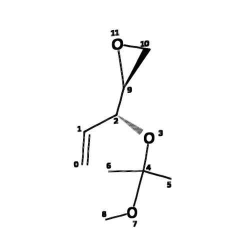 C=C[C@@H](OC(C)(C)OC)[C@@H]1CO1